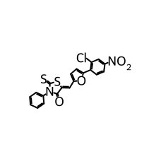 O=C1C(=Cc2ccc(-c3ccc([N+](=O)[O-])cc3Cl)o2)SC(=S)N1c1ccccc1